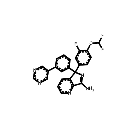 NC1=NC(c2cccc(-c3cncnc3)c2)(c2ccc(OC(F)F)c(F)c2)c2cccnc21